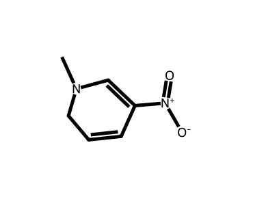 CN1C=C([N+](=O)[O-])C=CC1